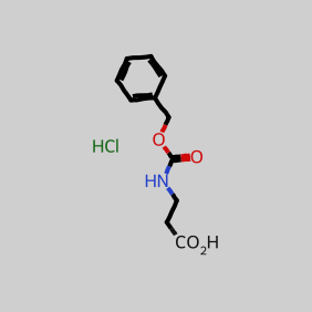 Cl.O=C(O)CCNC(=O)OCc1ccccc1